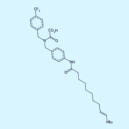 CCCCC=CCCCCCCCC(=O)Nc1ccc(CN(Cc2ccc(C(F)(F)F)cc2)C(=O)C(=O)O)cc1